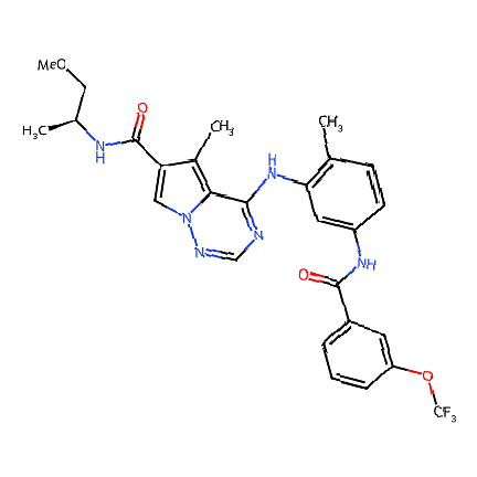 COC[C@H](C)NC(=O)c1cn2ncnc(Nc3cc(NC(=O)c4cccc(OC(F)(F)F)c4)ccc3C)c2c1C